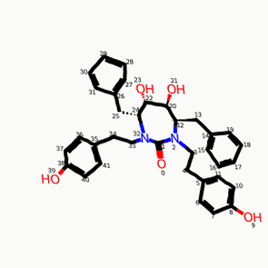 O=C1N(CCc2ccc(O)cc2)[C@H](Cc2ccccc2)[C@H](O)[C@@H](O)[C@@H](Cc2ccccc2)N1CCc1ccc(O)cc1